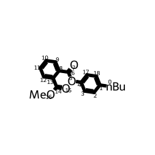 CCCCc1ccc(OC(=O)c2ccccc2C(=O)OC)cc1